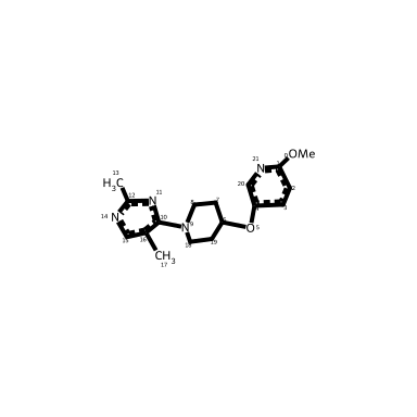 COc1ccc(OC2CCN(c3nc(C)ncc3C)CC2)cn1